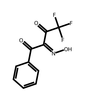 O=C(C(=NO)C(=O)C(F)(F)F)c1ccccc1